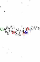 COCOc1cc(-c2ccc(OC3CCc4cc(Cl)ccc43)cc2)on1